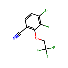 N#Cc1ccc(Br)c(F)c1OCC(F)(F)F